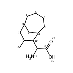 CC1CC2CCCCC(C2)C1C(N)C(=O)O